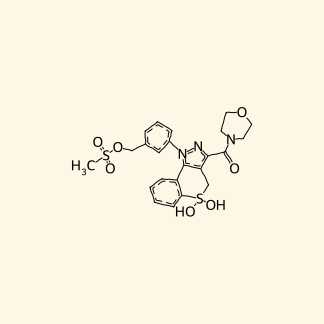 CS(=O)(=O)OCc1cccc(-n2nc(C(=O)N3CCOCC3)c3c2-c2ccccc2S(O)(O)C3)c1